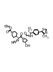 Cc1ncsc1-c1ccc([C@H](C)NC(=O)[C@@H]2C[C@@H](O)CN2C(=O)[C@@H](N=[N+]=[N-])C2CCN(C(=O)OC(C)(C)C)CC2)cc1